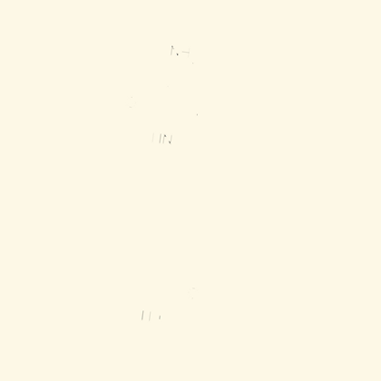 COc1ccc(NC2(C(N)=O)CCCCC2)cc1